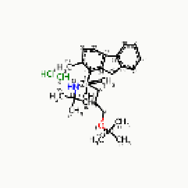 Cl.Cl.[CH2]=[Zr]([CH3])([CH2]CCO[Si](C)(C)C)([NH]C(C)(C)C)[c]1c(C)ccc2c1Cc1ccccc1-2